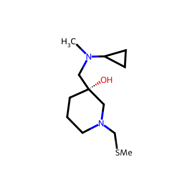 CSCN1CCC[C@@](O)(CN(C)C2CC2)C1